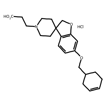 Cl.O=C(O)CCN1CCC2(CC1)COc1cc(OCC3CC=CCC3)ccc12